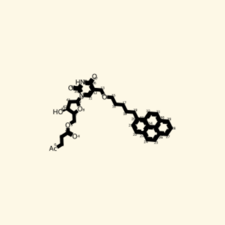 CC(=O)CCC(=O)OCC1OC(n2cc(COCCCCCc3ccc4ccc5cccc6ccc3c4c56)c(=O)[nH]c2=O)C[C@@H]1O